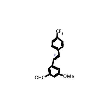 COc1cc(C=O)cc(/C=C/c2ccc(C(F)(F)F)cc2)c1